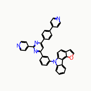 c1cc(-c2cc(-c3ccc(-c4ccncc4)cc3)nc(-c3ccncc3)n2)cc(-n2c3ccccc3c3c4occc4ccc32)c1